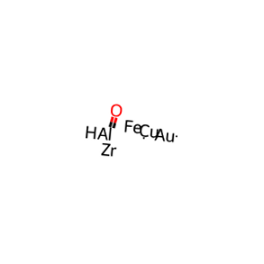 [Au].[Cu].[Fe].[O]=[AlH].[Zr]